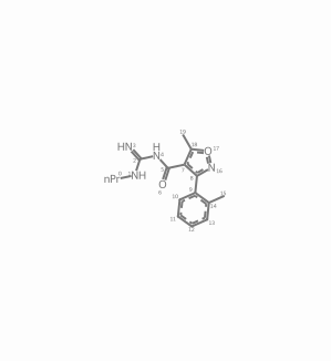 CCCNC(=N)NC(=O)c1c(-c2ccccc2C)noc1C